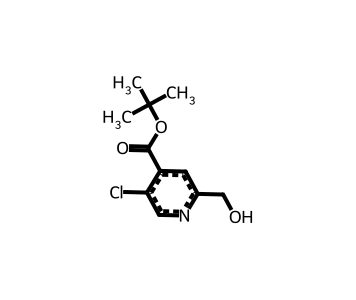 CC(C)(C)OC(=O)c1cc(CO)ncc1Cl